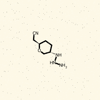 N#CC[C@H]1CC[C@H](NNN)CO1